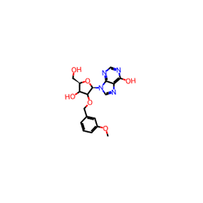 COc1cccc(COC2C(O)[C@@H](CO)O[C@H]2n2cnc3c(O)ncnc32)c1